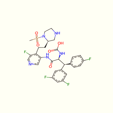 CS(=O)(=O)N1CCNC[C@H]1CCc1c(F)cncc1NC(=O)[C@@H](NC(=O)O)[C@@H](c1ccc(F)cc1)c1cc(F)cc(F)c1